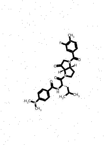 Cc1ccc(C(=O)N2CC(=O)[C@@H]3[C@H]2CCN3C(=O)[C@H](CC(C)C)NC(=O)c2ccc(N(C)C)cc2)cc1F